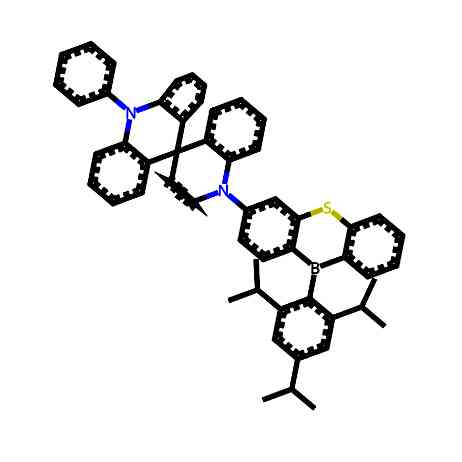 CC(C)c1cc(C(C)C)c(B2c3ccccc3Sc3cc(N4c5ccccc5C5(c6ccccc6N(c6ccccc6)c6ccccc65)c5ccccc54)ccc32)c(C(C)C)c1